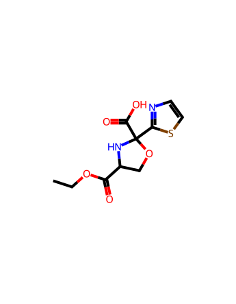 CCOC(=O)C1COC(C(=O)O)(c2nccs2)N1